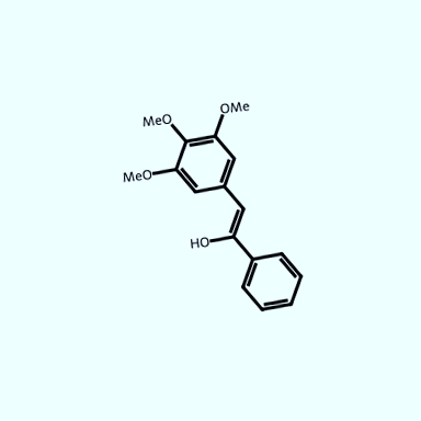 COc1cc(C=C(O)c2ccccc2)cc(OC)c1OC